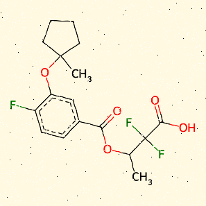 CC(OC(=O)c1ccc(F)c(OC2(C)CCCC2)c1)C(F)(F)C(=O)O